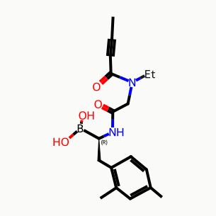 CC#CC(=O)N(CC)CC(=O)N[C@@H](Cc1ccc(C)cc1C)B(O)O